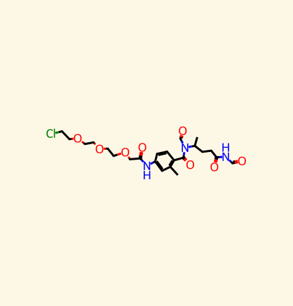 Cc1cc(NC(=O)COCCOCCOCCCl)ccc1C(=O)N(C=O)C(C)CCC(=O)NC=O